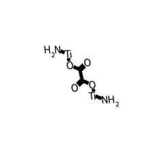 [NH2][Ti][O]C(=O)C(=O)[O][Ti][NH2]